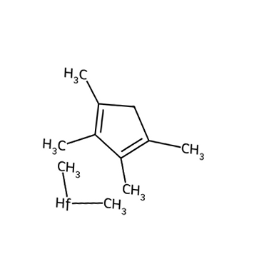 CC1=C(C)C(C)=C(C)C1.[CH3][Hf][CH3]